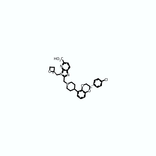 O=C(O)c1ccc2nc(CN3CCC(c4cccc5c4OC[C@H](c4ccc(Cl)cc4)O5)CC3)n(C[C@@H]3CCO3)c2n1